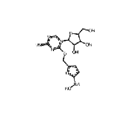 N=c1ncn(C2OC(CO)C(O)C2O)c(OCc2ccc(NO)o2)n1